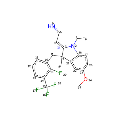 CCN1/C(=C\C=N)C(C)(Cc2cccc(C(F)(F)F)c2F)c2cc(OC)ccc21